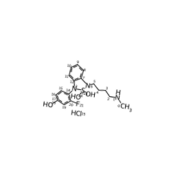 CNCCCCN1c2ccccc2N(c2ccc(O)cc2F)S1(O)O.Cl